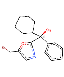 O[C@@](c1ccccc1)(c1ncc(CBr)o1)C1CCCCC1